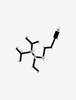 CCP(OCCC#N)N(C(C)C)C(C)C